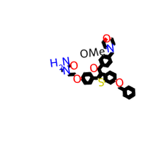 COc1cc(C(=O)c2c(-c3ccc(OCCN(C)C(N)=O)cc3)sc3cc(OCc4ccccc4)ccc23)ccc1CN1CCOCC1